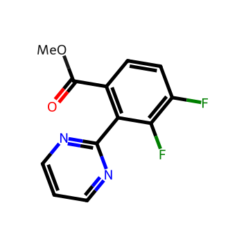 COC(=O)c1ccc(F)c(F)c1-c1ncccn1